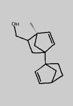 C[C@@]12C=CC(C34C=CC(CC3)C4)(CC1CO)C2